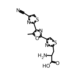 Cc1oc(-c2csc(CC(N)C(=O)O)n2)nc1-c1nc(C#N)cs1